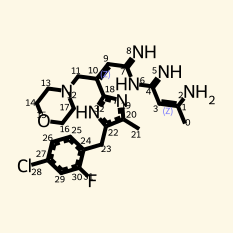 C/C(N)=C/C(=N)NC(=N)/C=C(/CN1CCOCC1)c1nc(C)c(Cc2ccc(Cl)cc2F)[nH]1